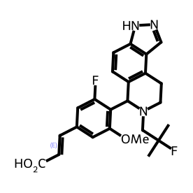 COc1cc(/C=C/C(=O)O)cc(F)c1C1c2ccc3[nH]ncc3c2CCN1CC(C)(C)F